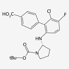 CC(C)(C)OC(=O)N1CCC[C@H]1Nc1ccc(F)c(Cl)c1-c1ccc(C(=O)O)cc1